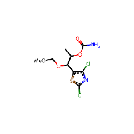 COCOC(c1sc(Cl)nc1Cl)C(C)OC(N)=O